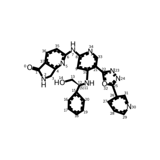 O=C1NCc2nc(Nc3cc(N[C@H](CO)c4ccccc4)c(-c4nnc(-c5cccnc5)o4)cn3)ccc21